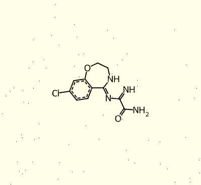 N=C(/N=C1\NCCOc2cc(Cl)ccc21)C(N)=O